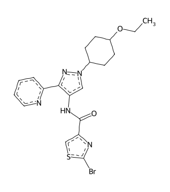 CCOC1CCC(n2cc(NC(=O)c3csc(Br)n3)c(-c3ccccn3)n2)CC1